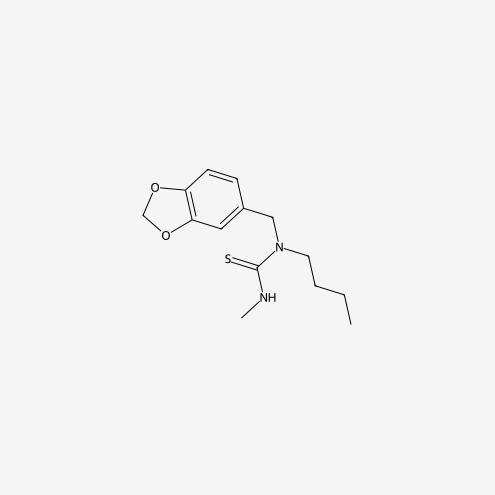 CCCCN(Cc1ccc2c(c1)OCO2)C(=S)NC